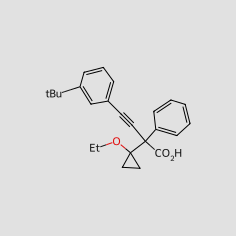 CCOC1(C(C#Cc2cccc(C(C)(C)C)c2)(C(=O)O)c2ccccc2)CC1